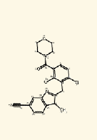 CC1C(Cc2c(Cl)ccc(C(=O)N3CCOCC3)c2Cl)=Nc2cc(C#N)ccc21